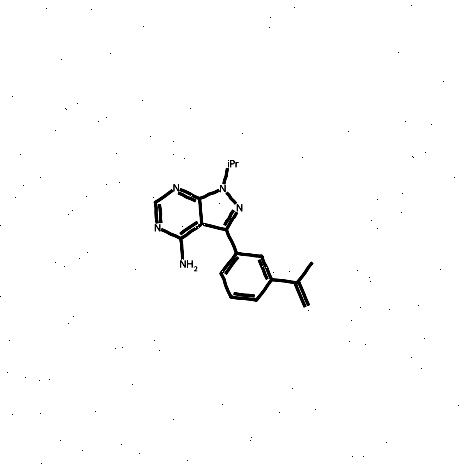 C=C(C)c1cccc(-c2nn(C(C)C)c3ncnc(N)c23)c1